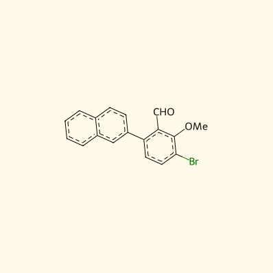 COc1c(Br)ccc(-c2ccc3ccccc3c2)c1C=O